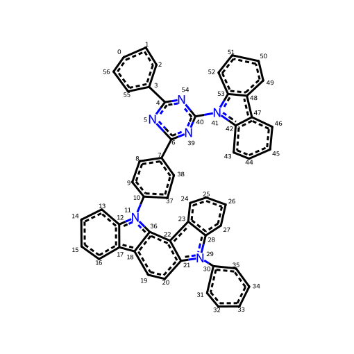 c1ccc(-c2nc(-c3ccc(-n4c5ccccc5c5ccc6c(c7ccccc7n6-c6ccccc6)c54)cc3)nc(-n3c4ccccc4c4ccccc43)n2)cc1